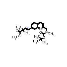 COC(=O)C(C)(C)/C=C/c1ccc2ccc(CN(C)C(=O)OC(C)(C)C)nc2c1